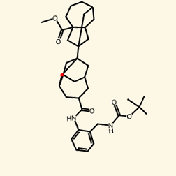 COC(=O)C12CCCC3CC1CC(C14CC5CC(C(=O)Nc6ccccc6CNC(=O)OC(C)(C)C)CC(C1)C(C5)C4)(C3)C2